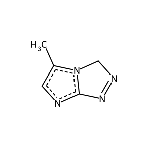 Cc1cnc2n1CN=N2